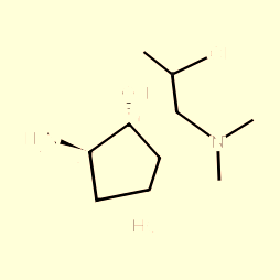 CC(O)CN(C)C.Cl.N[C@@H]1CCC[C@H]1O